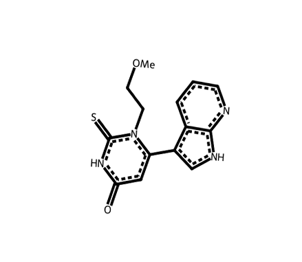 COCCn1c(-c2c[nH]c3ncccc23)cc(=O)[nH]c1=S